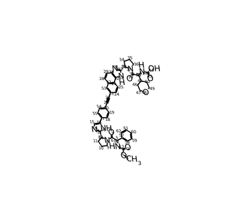 COC(=O)N[C@@H](C(=O)N1CCC[C@H]1c1ncc(-c2ccc(C#Cc3ccc4c(ccc5nc([C@@H]6CCCN6C(=O)[C@@H](NC(=O)O)C6CCOCC6)[nH]c54)c3)cc2)[nH]1)c1ccccc1